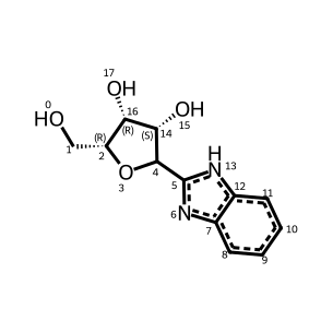 OC[C@H]1OC(c2nc3ccccc3[nH]2)[C@@H](O)[C@H]1O